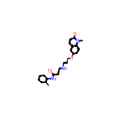 Cc1ccccc1NC(=O)CCNCCCOc1ccc2c(ccc(=O)n2C)c1